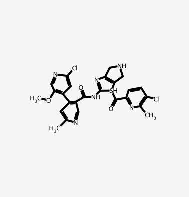 COc1cnc(Cl)cc1-c1cc(C)ncc1C(=O)NC1=NC2=C(CNC2)[SH]1C(=O)c1ccc(Cl)c(C)n1